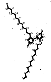 CCCCCCCCCCCCCOc1cc(C)sc1-c1sc(C)cc1CCCCCCCCCCCCC